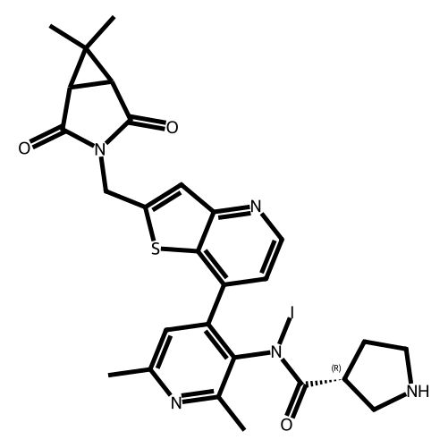 Cc1cc(-c2ccnc3cc(CN4C(=O)C5C(C4=O)C5(C)C)sc23)c(N(I)C(=O)[C@@H]2CCNC2)c(C)n1